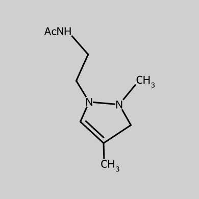 CC(=O)NCCN1C=C(C)CN1C